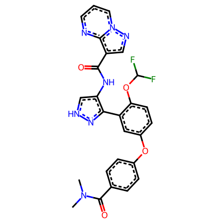 CN(C)C(=O)c1ccc(Oc2ccc(OC(F)F)c(-c3n[nH]cc3NC(=O)c3cnn4cccnc34)c2)cc1